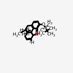 [2H]C1=CC[C@@H]2[C@H]3Cc4ccc(O[Si](C)(C)C(C)(C)C)c5c4[C@@]2(CCN3C)[C@@H]1O5